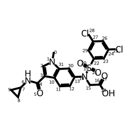 Cn1cc(C(=O)NC2CC2)c2ccc(N(CC(=O)O)S(=O)(=O)c3cc(Cl)cc(Cl)c3)cc21